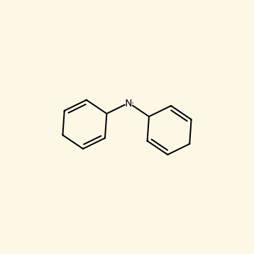 C1=CC([N]C2C=CCC=C2)C=CC1